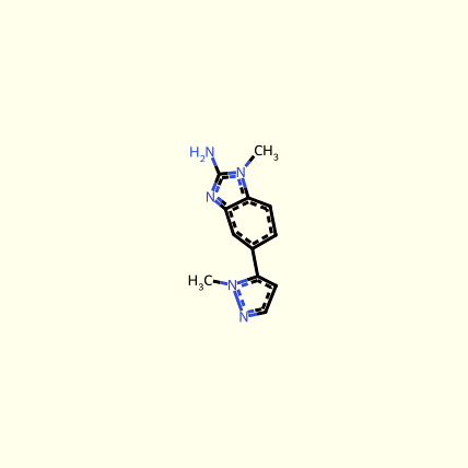 Cn1nccc1-c1ccc2c(c1)nc(N)n2C